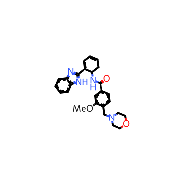 COc1cc(C(=O)NC2CC=CC=C2c2nc3ccccc3[nH]2)ccc1CN1CCOCC1